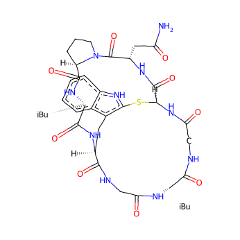 CC[C@H](C)[C@@H]1NC(=O)CNC(=O)[C@@H]2Cc3c([nH]c4ccccc34)S[C@H](NC(=O)CNC1=O)C(=O)N[C@@H](CC(N)=O)C(=O)N1CCC[C@@H]1C(=O)N[C@@H]([C@@H](C)CC)C(=O)N2